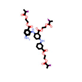 CC(I)C(=O)OCCOC(=O)c1ccc(N)cc1NC1CCC(NC2CCCC(C(=O)OCCOC(=O)C(C)I)C2)CC1C(=O)OCCOC(=O)C(C)I